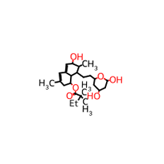 CCC(C)(C)C(=O)OC1CC(C)=CC2=CC(O)C(C)C(CCC3CC(O)CC(O)O3)C21